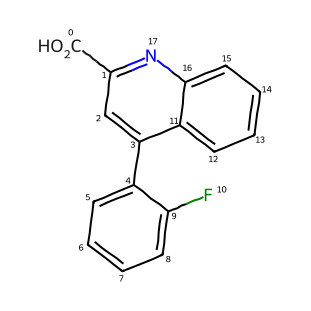 O=C(O)c1cc(-c2ccccc2F)c2ccccc2n1